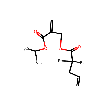 C=CCC(CC)(CC)C(=O)OCC(=C)C(=O)OC(C(F)(F)F)C(F)(F)F